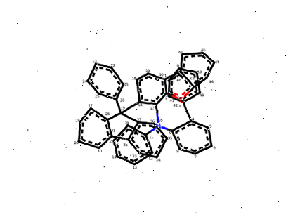 c1ccc(-c2ccccc2N(c2ccccc2)c2c(C3(c4ccccc4)c4ccccc4-c4ccccc43)ccc3c2oc2ccccc23)cc1